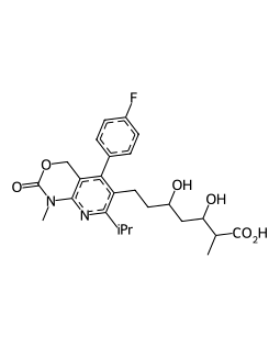 CC(C)c1nc2c(c(-c3ccc(F)cc3)c1CCC(O)CC(O)C(C)C(=O)O)COC(=O)N2C